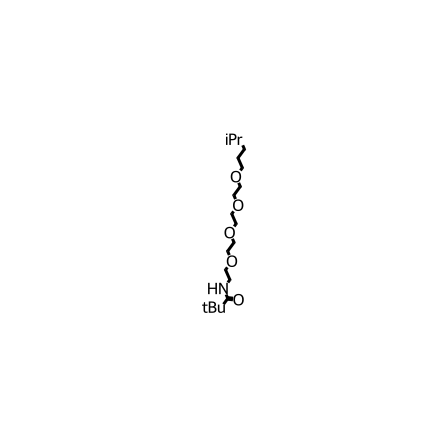 CC(C)CCCOCCOCCOCCOCCNC(=O)C(C)(C)C